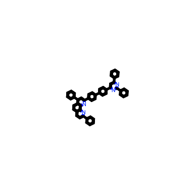 c1ccc(-c2cc(-c3ccc(-c4ccc(-c5cc(-c6ccccc6)c6ccc7ccc(-c8ccccc8)nc7c6n5)cc4)cc3)nc(-c3ccccc3)n2)cc1